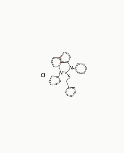 [Cl-].c1ccc(CSC(N(c2ccccc2)c2ccccc2)=[N+](c2ccccc2)c2ccccc2)cc1